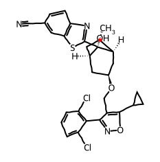 C[C@H]1C[C@@H]2C[C@H](OCc3c(-c4c(Cl)cccc4Cl)noc3C3CC3)C[C@H]1[C@]2(O)c1nc2ccc(C#N)cc2s1